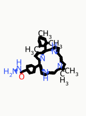 Cc1cc(C)c(-c2c3nc(c(-c4ccc(C(=O)NN)cc4)c4ccc(cc5nc(cc6ccc2[nH]6)CC5(C)C)[nH]4)C=C3)c(C)c1